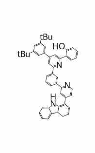 CC(C)(C)c1cc(-c2cc(-c3cccc(-c4cc(C5=C6Nc7ccccc7C6CC=C5)ccn4)c3)nc(-c3ccccc3O)c2)cc(C(C)(C)C)c1